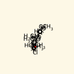 COC(=O)c1ccc(C(=O)N[C@@H](C(=O)N2CC[C@](O)(c3ccc(Cl)cc3)C(C)(C)C2)C(C)C)cc1